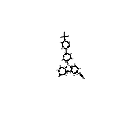 CC(C)(C)c1ccc(-c2ccc(-n3c4ccccc4c4cc(C#N)ccc43)cc2)cc1